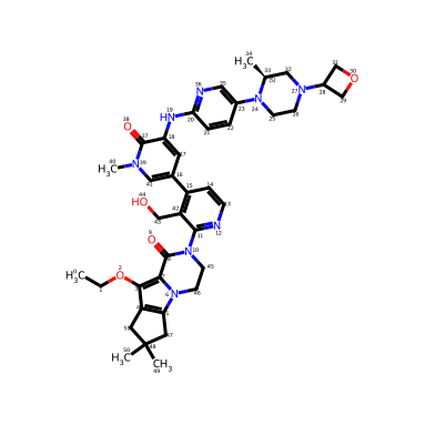 CCOc1c2c(n3c1C(=O)N(c1nccc(-c4cc(Nc5ccc(N6CCN(C7COC7)C[C@@H]6C)cn5)c(=O)n(C)c4)c1CO)CC3)CC(C)(C)C2